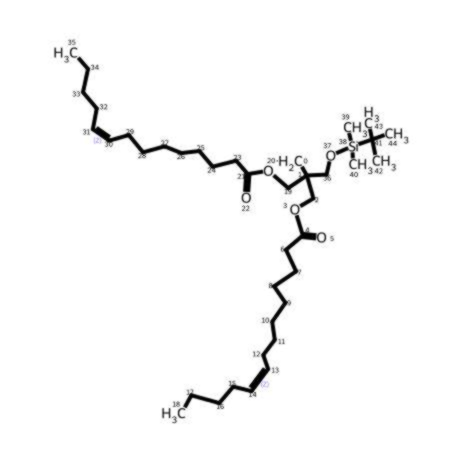 [CH2]C(COC(=O)CCCCCCC/C=C\CCCC)(COC(=O)CCCCCCC/C=C\CCCC)CO[Si](C)(C)C(C)(C)C